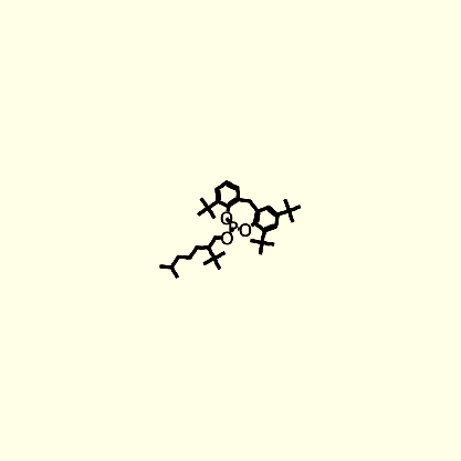 CC(C)CCCC(COP1Oc2c(cccc2C(C)(C)C)Cc2cc(C(C)(C)C)cc(C(C)(C)C)c2O1)C(C)(C)C